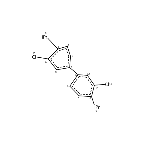 CC(C)c1ccc(-c2ccc(C(C)C)c(Cl)c2)cc1Cl